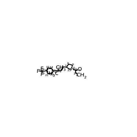 C=CC(=O)N1CCC(/C=C/C(C)(C)c2ccc(C(F)(F)F)cc2)C1